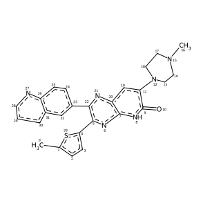 Cc1ccc(-c2nc3[nH]c(=O)c(N4CCN(C)CC4)cc3nc2-c2ccc3ncccc3c2)s1